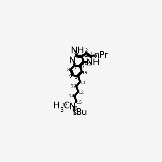 CCCc1cc2c(N)nc3ccc(CCCCCN(C)C(C)(C)C)cc3c2[nH]1